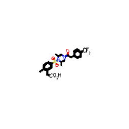 Cc1ccc(S(=O)(=O)N2C(C)CN(C(=O)Cc3ccc(C(F)(F)F)cc3)CC2C)cc1CC(=O)O